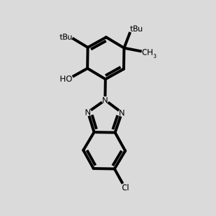 CC(C)(C)C1=CC(C)(C(C)(C)C)C=C(n2nc3ccc(Cl)cc3n2)C1O